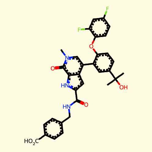 Cn1cc(-c2cc(C(C)(C)O)ccc2Oc2ccc(F)cc2F)c2cc(C(=O)NCc3ccc(C(=O)O)cc3)[nH]c2c1=O